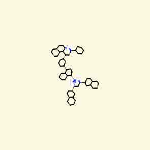 c1ccc(-c2cc(-c3cccc(-c4ccc(-c5nc(-c6ccc7ccccc7c6)cc(-c6ccc7ccccc7c6)n5)c5ccccc45)c3)c3c(ccc4ccccc43)n2)cc1